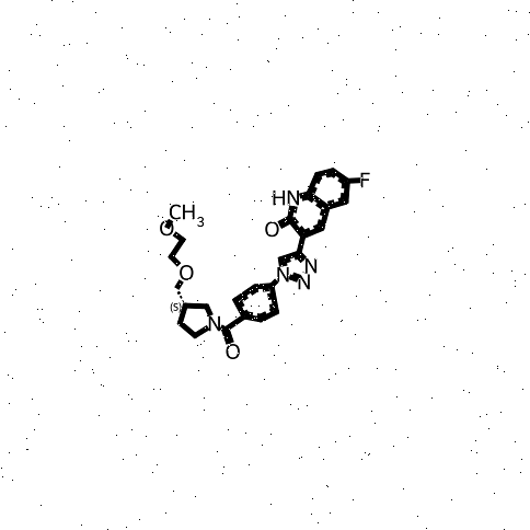 COCCOC[C@H]1CCN(C(=O)c2ccc(-n3cc(-c4cc5cc(F)ccc5[nH]c4=O)nn3)cc2)C1